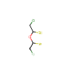 SC(CCl)OC(S)CCl